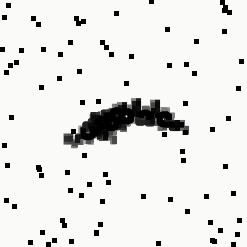 C[C@@H]1CO[C@]23O[C@H]4C[C@H]5[C@@H]6CC[C@@H]7C[C@@H](NC(=O)CC(=O)NC8CCN(C)CC8)CC[C@]7(C)[C@H]6CC[C@]5(C)[C@H]4[C@]2(C)C3C1